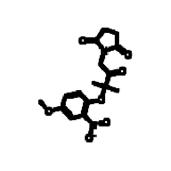 COc1ccc(OC(C)(C)C(=O)CN2C(=O)CCC2=O)c([N+](=O)[O-])c1